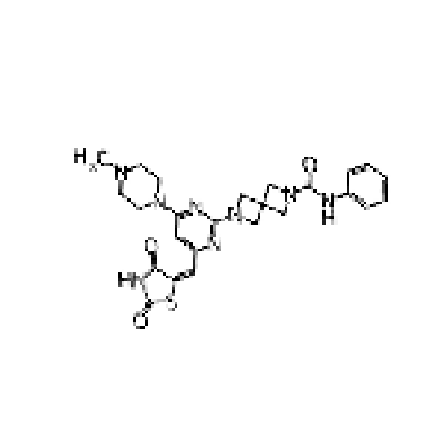 CN1CCN(c2cc(C=C3SC(=O)NC3=O)nc(N3CC4(CN(C(=O)Nc5ccccc5)C4)C3)n2)CC1